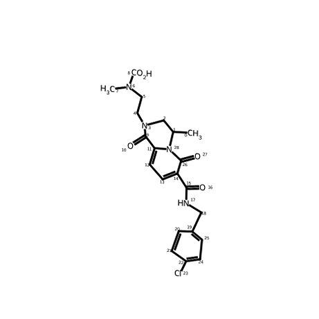 CC1CN(CCN(C)C(=O)O)C(=O)c2ccc(C(=O)NCc3ccc(Cl)cc3)c(=O)n21